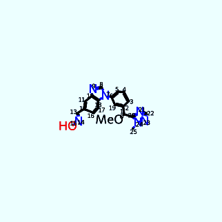 COC(c1cccc(-n2cnc3cc(/C=N/O)ccc32)c1)c1ncnn1C